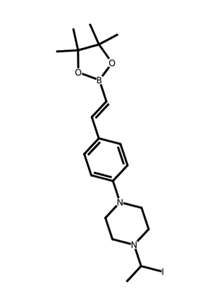 CC(I)N1CCN(c2ccc(C=CB3OC(C)(C)C(C)(C)O3)cc2)CC1